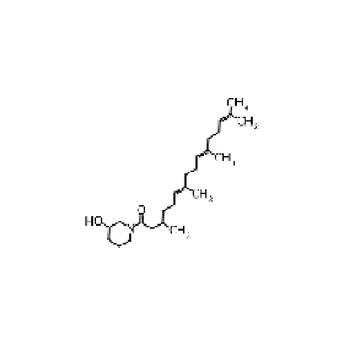 CC(C)=CCC/C(C)=C/CC/C(C)=C/CCC(C)CC(=O)N1CCCC(O)C1